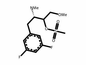 CN[C@@H](Cc1cc(F)cc(F)c1)C(COC)OS(C)(=O)=O